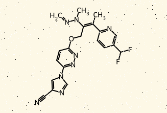 C=NN(C)/C(COc1ccc(-n2cnc(C#N)c2)nn1)=C(\C)c1ccc(C(F)F)cn1